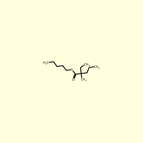 CCCCCSC(=O)C(C)(CC)CCC